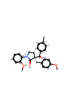 COc1ccc(C[C@@]2(C(=O)c3ccc(C)cc3)CCN(c3ccccc3OC)C2=O)cc1